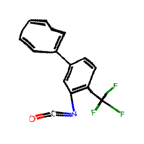 O=C=Nc1cc(-c2ccccc2)ccc1C(F)(F)F